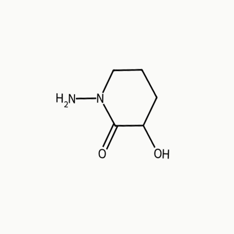 NN1CCCC(O)C1=O